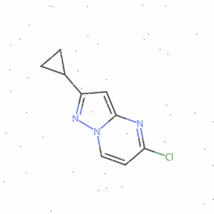 Clc1ccn2nc(C3CC3)cc2n1